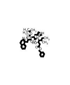 CCC(C)[C@H](NC(=O)[C@@H](Cc1c[nH]cn1)N(C(=O)OC(C)(C)C)C(=O)[C@@H](N)Cc1cccc2ccccc12)[C@@H](O)CC(=O)OCc1ccccc1